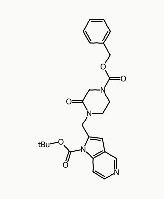 CC(C)(C)OC(=O)n1c(CN2CCN(C(=O)OCc3ccccc3)CC2=O)cc2cnccc21